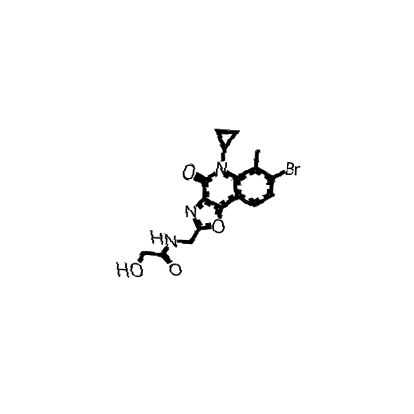 Cc1c(Br)ccc2c3oc(CNC(=O)CO)nc3c(=O)n(C3CC3)c12